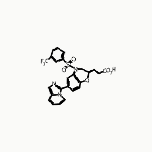 O=C(O)CCC1CN(S(=O)(=O)c2cccc(C(F)(F)F)c2)c2cc(-c3ncc4ccccn34)ccc2O1